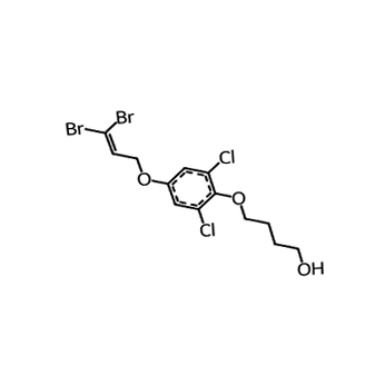 OCCCCOc1c(Cl)cc(OCC=C(Br)Br)cc1Cl